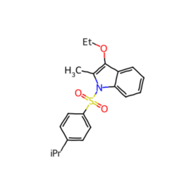 [CH2]COc1c(C)n(S(=O)(=O)c2ccc(C(C)C)cc2)c2ccccc12